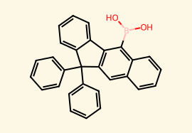 OB(O)c1c2c(cc3ccccc13)C(c1ccccc1)(c1ccccc1)c1ccccc1-2